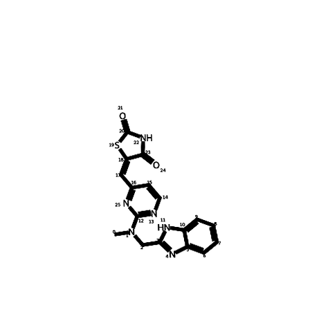 CN(Cc1nc2ccccc2[nH]1)c1nccc(/C=C2/SC(=O)NC2=O)n1